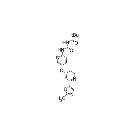 Cc1ncc(C2=NCCC(Oc3ccc(NC(=O)NC(=O)C(C)(C)C)nc3)=C2)o1